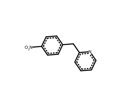 O=[N+]([O-])c1ccc(Cc2ccccn2)cc1